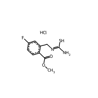 COC(=O)c1ccc(F)cc1CN=C(N)S.Cl